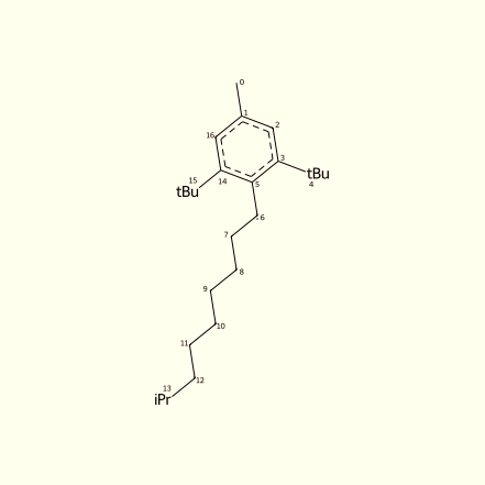 Cc1cc(C(C)(C)C)c([CH]CCCCCCC(C)C)c(C(C)(C)C)c1